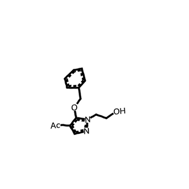 CC(=O)c1cnn(CCO)c1OCc1ccccc1